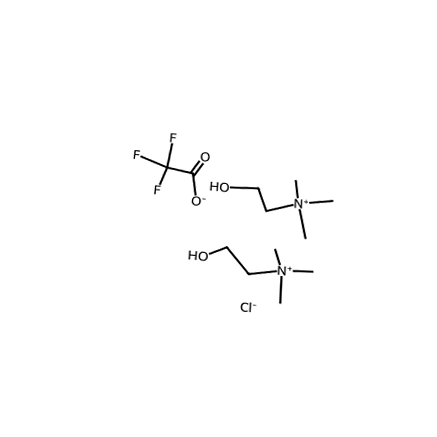 C[N+](C)(C)CCO.C[N+](C)(C)CCO.O=C([O-])C(F)(F)F.[Cl-]